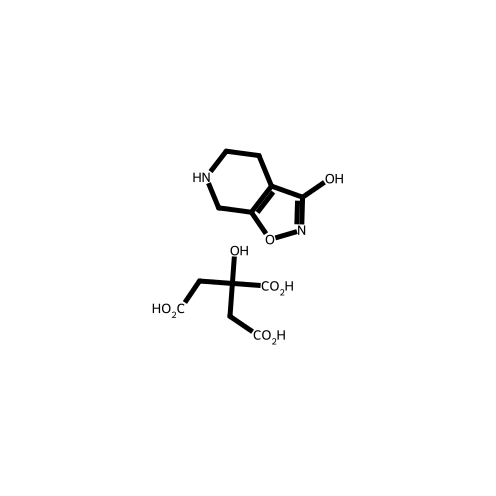 O=C(O)CC(O)(CC(=O)O)C(=O)O.Oc1noc2c1CCNC2